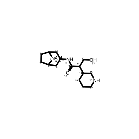 CN1C2CCC1CC(NC(=O)C(CO)C1CCCNC1)C2